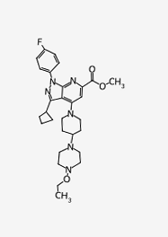 CCON1CCN(C2CCN(c3cc(C(=O)OC)nc4c3c(C3CCC3)nn4-c3ccc(F)cc3)CC2)CC1